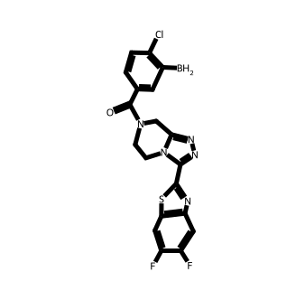 Bc1cc(C(=O)N2CCn3c(nnc3-c3nc4cc(F)c(F)cc4s3)C2)ccc1Cl